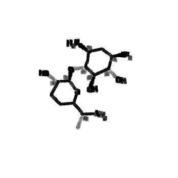 C[C@@H](N)C1CC[C@H](O)[C@@H](O[C@H]2[C@H](O)[C@@H](O)[C@H](N)C[C@@H]2N)O1